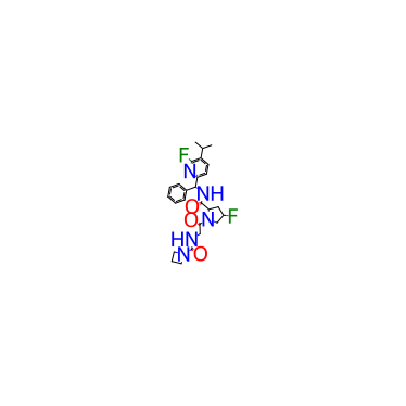 CC(C)c1ccc(C(NC(=O)C2CC(F)CN2C(=O)CNC(=O)N2CCC2)c2ccccc2)nc1F